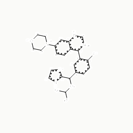 Fc1ccc(C(OC(F)F)c2nccs2)cc1-c1ncnc2cc(N3CCOCC3)ccc12